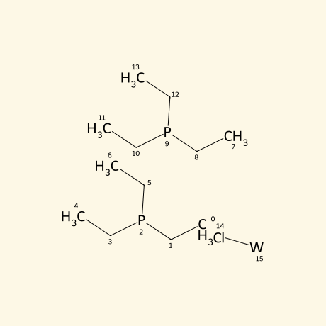 CCP(CC)CC.CCP(CC)CC.[Cl][W]